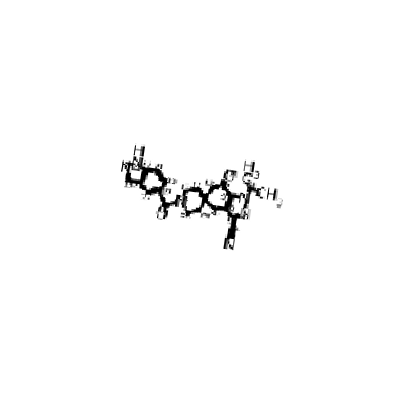 CC(C)n1nc(C#N)c2c1C(=O)CC1(CCN(C(=O)c3ccc4[nH]ncc4c3)CC1)C2